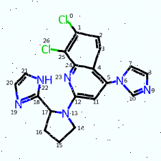 Clc1ccc2c(-n3ccnc3)cc(N3CCCC3c3ncc[nH]3)nc2c1Cl